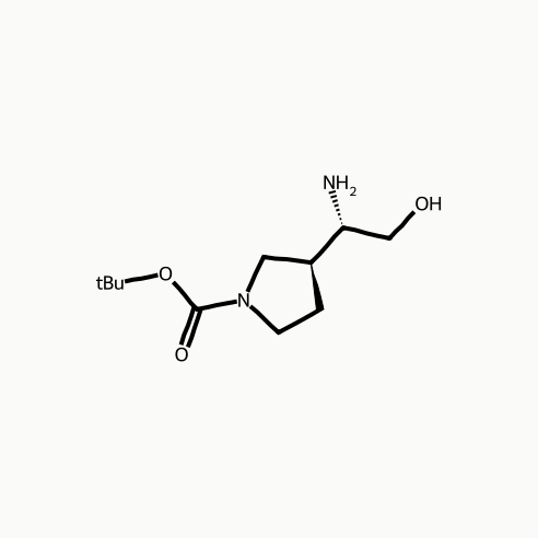 CC(C)(C)OC(=O)N1CC[C@H]([C@H](N)CO)C1